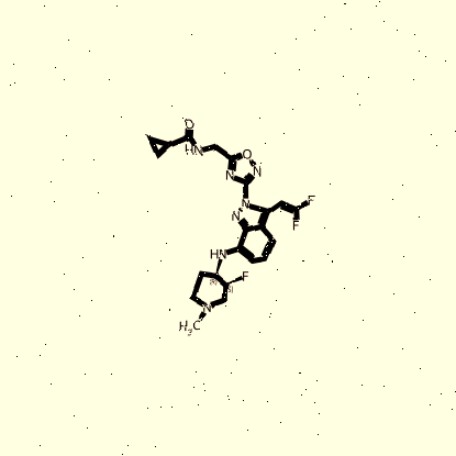 CN1CC[C@@H](Nc2cccc3c(C=C(F)F)n(-c4noc(CNC(=O)C5CC5)n4)nc23)[C@@H](F)C1